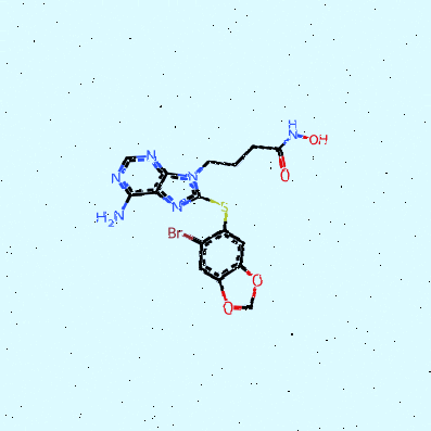 Nc1ncnc2c1nc(Sc1cc3c(cc1Br)OCO3)n2CCCC(=O)NO